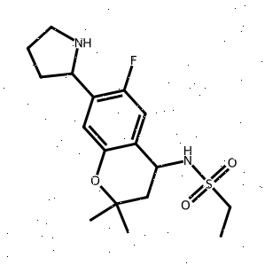 CCS(=O)(=O)NC1CC(C)(C)Oc2cc(C3CCCN3)c(F)cc21